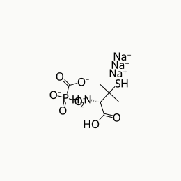 CC(C)(S)[C@@H](N)C(=O)O.O=C([O-])P(=O)([O-])[O-].[Na+].[Na+].[Na+]